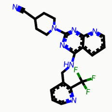 N#CC1CCN(c2nc(NCc3cccnc3C(F)(F)F)c3cccnc3n2)CC1